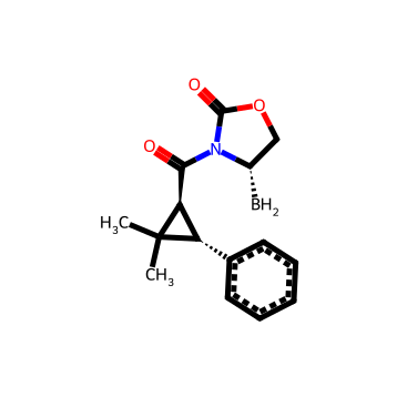 B[C@H]1COC(=O)N1C(=O)[C@H]1[C@H](c2ccccc2)C1(C)C